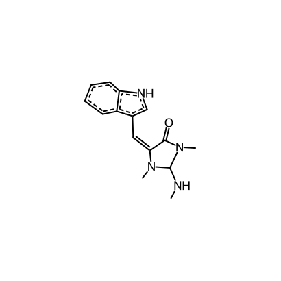 CNC1N(C)C(=O)/C(=C\c2c[nH]c3ccccc23)N1C